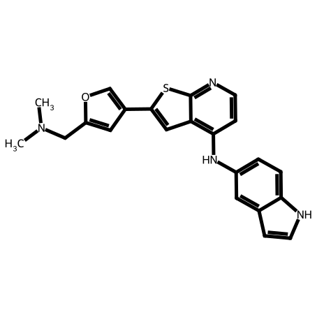 CN(C)Cc1cc(-c2cc3c(Nc4ccc5[nH]ccc5c4)ccnc3s2)co1